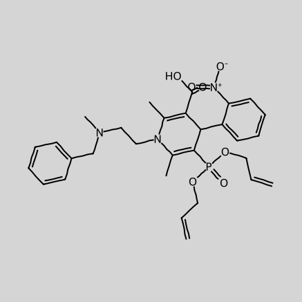 C=CCOP(=O)(OCC=C)C1=C(C)N(CCN(C)Cc2ccccc2)C(C)=C(C(=O)O)C1c1ccccc1[N+](=O)[O-]